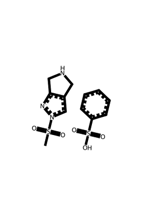 CS(=O)(=O)n1cc2c(n1)CNC2.O=S(=O)(O)c1ccccc1